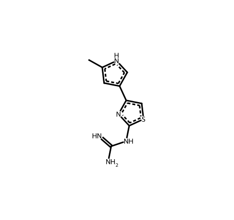 Cc1cc(-c2csc(NC(=N)N)n2)c[nH]1